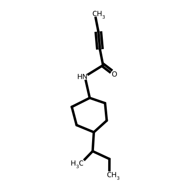 CC#CC(=O)NC1CCC(C(C)CC)CC1